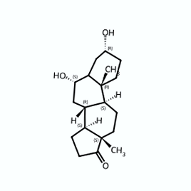 C[C@]12CC[C@@H](O)CC1[C@@H](O)C[C@@H]1[C@@H]2CC[C@]2(C)C(=O)CC[C@@H]12